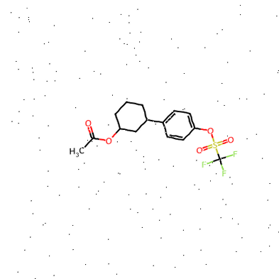 CC(=O)OC1CCCC(c2ccc(OS(=O)(=O)C(F)(F)F)cc2)C1